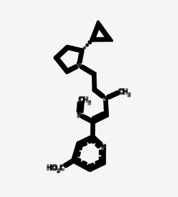 C=N/C(=C\N(C)CCN1CCC[C@@H]1C1CC1)c1cc(C(=O)O)ccn1